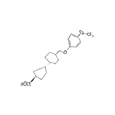 CCCCCCCC[C@H]1CC[C@H](C2CCC(COc3ccc(OC(F)(F)F)cc3)CC2)CC1